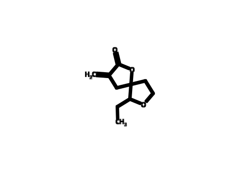 C=C1CC2(CCOC2CC)OC1=O